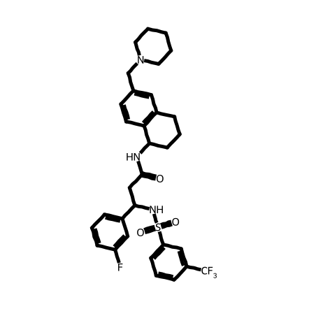 O=C(CC(NS(=O)(=O)c1cccc(C(F)(F)F)c1)c1cccc(F)c1)NC1CCCc2cc(CN3CCCCC3)ccc21